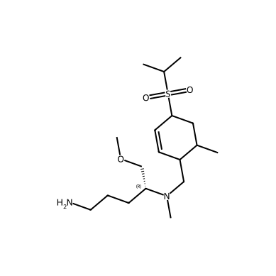 COC[C@@H](CCCN)N(C)CC1C=CC(S(=O)(=O)C(C)C)CC1C